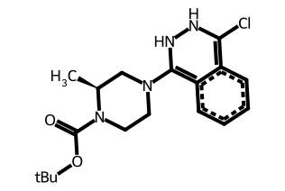 C[C@H]1CN(C2=c3ccccc3=C(Cl)NN2)CCN1C(=O)OC(C)(C)C